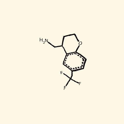 NCC1CCOc2ccc(C(F)(F)F)cc21